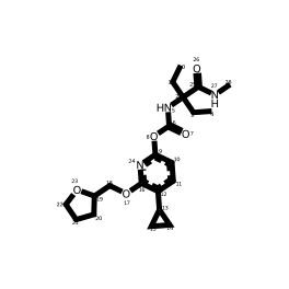 CCC(CC)(NC(=O)Oc1ccc(C2CC2)c(OCC2CCCO2)n1)C(=O)NC